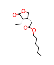 CCCCCCOC(=O)C[C@H]1COC(=O)[C@H]1CC